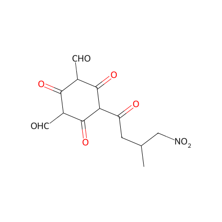 CC(CC(=O)C1C(=O)C(C=O)C(=O)C(C=O)C1=O)C[N+](=O)[O-]